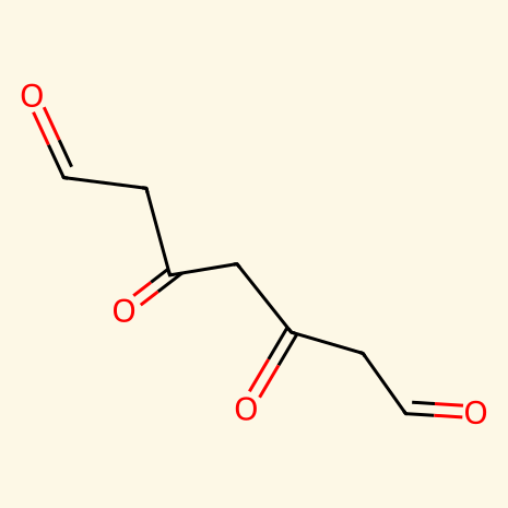 O=CCC(=O)CC(=O)CC=O